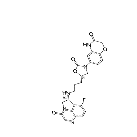 O=C1COc2ccc(N3C[C@@H](CCCN[C@@H]4Cn5c(=O)cnc6ccc(F)c4c65)OC3=O)cc2N1